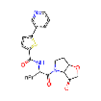 CCCC(NC(=O)c1ccc(-c2cccnc2)s1)C(=O)N1CCC2OCC(=O)C21